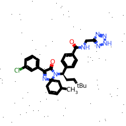 CC1C=CCC2(C1)N=C(c1cccc(Cl)c1)C(=O)N2[C@H](CCC(C)(C)C)c1ccc(C(=O)NCc2nn[nH]n2)cc1